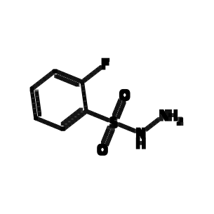 NNS(=O)(=O)c1ccccc1F